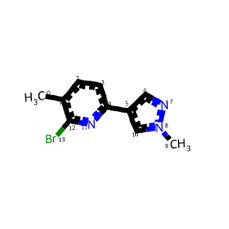 Cc1ccc(-c2cnn(C)c2)nc1Br